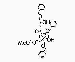 COCOCCC(CO)(COCc1ccccc1)OC(C(=O)CC[C@@H](O)COCc1ccccc1)C(=O)OCc1ccccc1